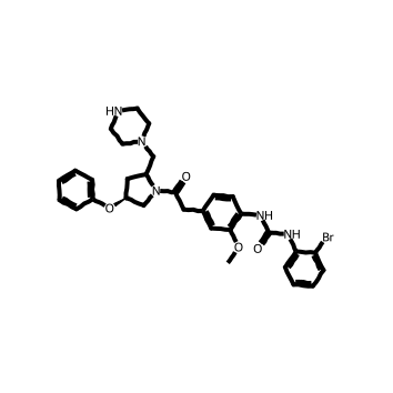 COc1cc(CC(=O)N2C[C@@H](Oc3ccccc3)CC2CN2CCNCC2)ccc1NC(=O)Nc1ccccc1Br